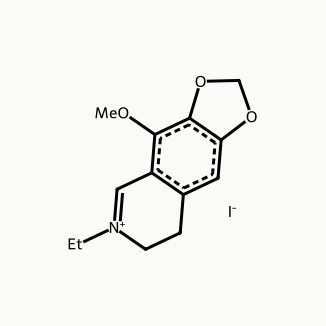 CC[N+]1=Cc2c(cc3c(c2OC)OCO3)CC1.[I-]